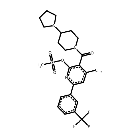 Cc1cc(-c2cccc(C(F)(F)F)c2)nc(OS(C)(=O)=O)c1C(=O)N1CCC(N2CCCC2)CC1